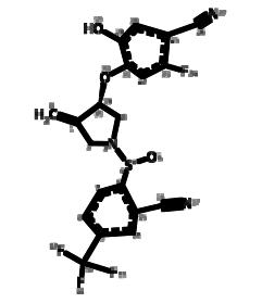 C=C1CN([S+]([O-])c2ccc(C(F)(F)F)cc2C#N)C[C@@H]1Oc1cc(F)c(C#N)cc1O